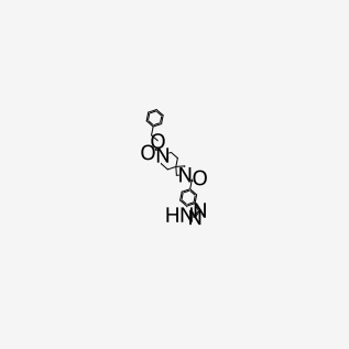 O=C(OCc1ccccc1)N1CCC2(CC1)CN(C(=O)c1ccc3[nH]nnc3c1)C2